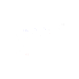 CC(C)(C)OC(=O)Nc1ccc2c(/C=C(/C(=O)O)c3ccccc3)c[nH]c2n1